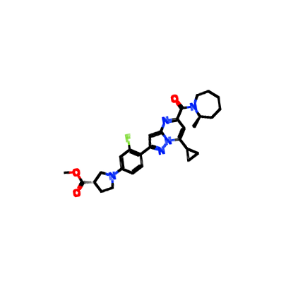 COC(=O)[C@H]1CCN(c2ccc(-c3cc4nc(C(=O)N5CCCCC[C@H]5C)cc(C5CC5)n4n3)c(F)c2)C1